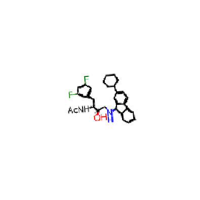 CC(=O)N[C@@H](Cc1cc(F)cc(F)c1)[C@H](O)CNC1c2ccccc2-c2ccc(C3CCCCC3)cc21